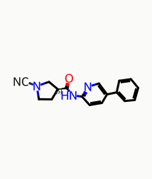 N#CN1CC[C@H](C(=O)Nc2ccc(-c3ccccc3)cn2)C1